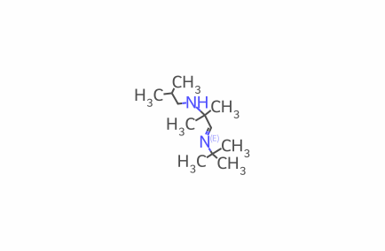 CC(C)CNC(C)(C)/C=N/C(C)(C)C